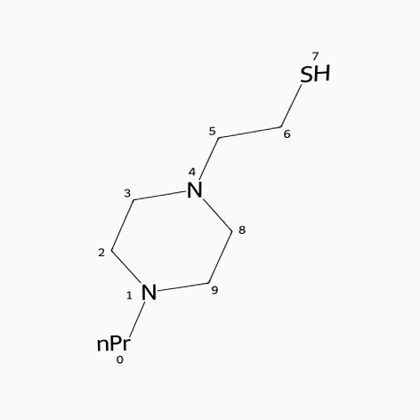 CCCN1CCN(CCS)CC1